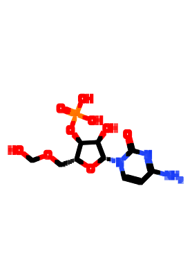 Nc1ccn([C@@H]2O[C@H](COCO)[C@@H](OP(=O)(O)O)[C@H]2O)c(=O)n1